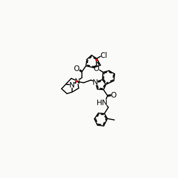 COc1cccc2c(C(=O)NCc3ccccc3C)cn(CCCN3C4CCC3CN(CC(=O)c3ccc(Cl)cc3)C4)c12